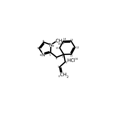 C=CCC1(Cc2nccn2C)C=CC=CC1.Cl